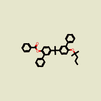 CCCC(C)(C)Oc1ccc(C(C)(C)c2ccc(OC(=O)c3ccccc3)c(-c3ccccc3)c2)cc1-c1ccccc1